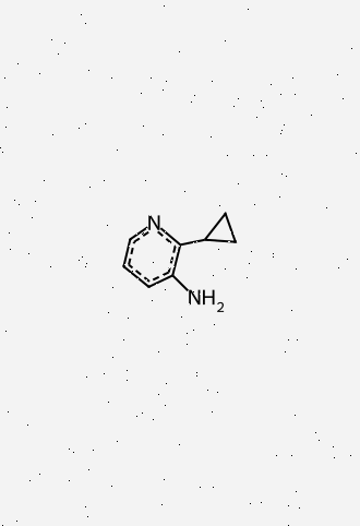 Nc1cccnc1C1CC1